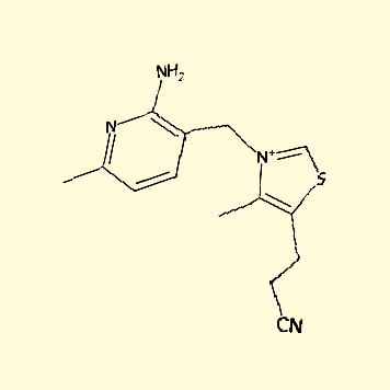 Cc1ccc(C[n+]2csc(CCC#N)c2C)c(N)n1